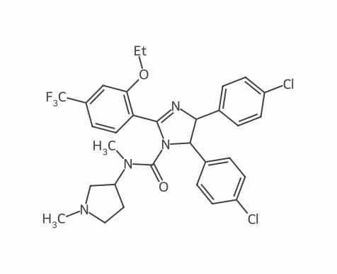 CCOc1cc(C(F)(F)F)ccc1C1=NC(c2ccc(Cl)cc2)C(c2ccc(Cl)cc2)N1C(=O)N(C)C1CCN(C)C1